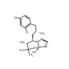 C[C@@H](Cc1ccc(Cl)cc1Cl)C[C@H]([C@@H](O)C(C)(C)C)N1N=CNC1S